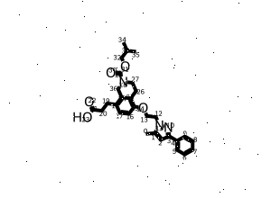 Cc1cc(-c2ccccc2)nn1CCOc1ccc(CCC(=O)O)c2c1CCN(C(=O)OCC(C)C)C2